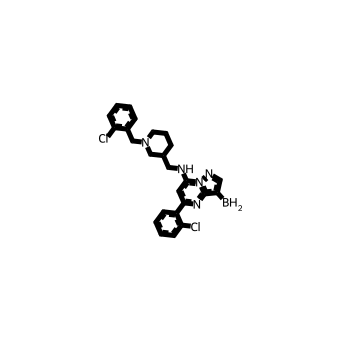 Bc1cnn2c(NCC3CCCN(Cc4ccccc4Cl)C3)cc(-c3ccccc3Cl)nc12